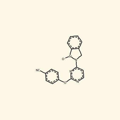 N#Cc1ccc(Oc2nccc(N3Cc4ccccc4[S+]3[O-])n2)cc1